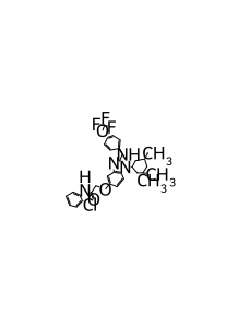 C[C@@H]1C[C@@H](n2c(Nc3ccc(OC(F)(F)F)cc3)nc3cc(OCC(=O)Nc4ccccc4Cl)ccc32)CC(C)(C)C1